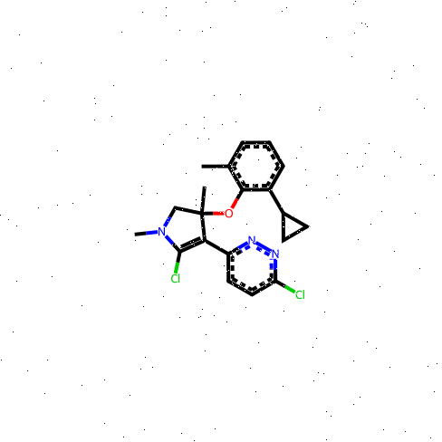 Cc1cccc(C2CC2)c1OC1(C)CN(C)C(Cl)=C1c1ccc(Cl)nn1